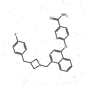 NC(=O)c1ccc(Oc2ccc(CN3CC(Cc4ccc(F)cc4)C3)c3ccccc23)nc1